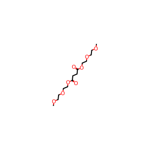 COCCOCCOC(=O)CCC(=O)OCCOCCOC